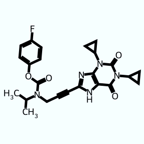 CC(C)N(CC#Cc1nc2c([nH]1)c(=O)n(C1CC1)c(=O)n2C1CC1)C(=O)Oc1ccc(F)cc1